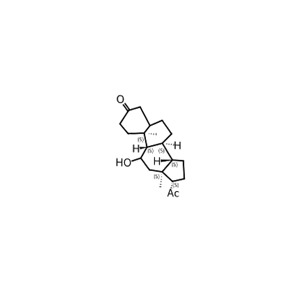 CC(=O)[C@H]1CC[C@H]2[C@@H]3CCC4CC(=O)CC[C@]4(C)[C@H]3C(O)C[C@]12C